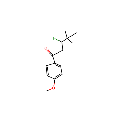 COc1ccc(C(=O)CC(F)C(C)(C)C)cc1